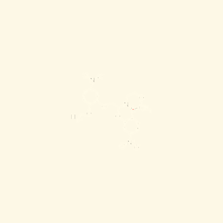 COc1ccc([N+](=O)[O-])cc1OCC(Oc1cc([N+](=O)[O-])ccc1OC)N1CCOCC1